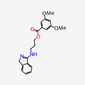 COc1cc(OC)cc(C(=O)OCCCNC2=NCc3ccccc32)c1